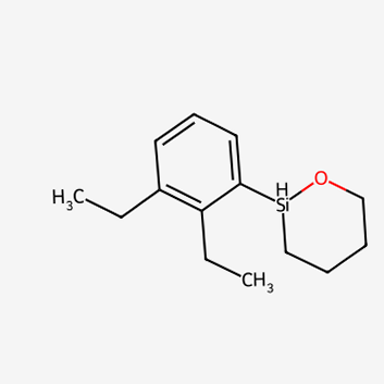 CCc1cccc([SiH]2CCCCO2)c1CC